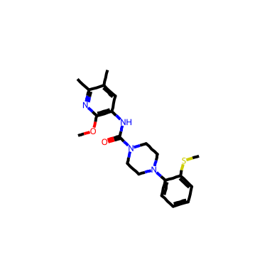 COc1nc(C)c(C)cc1NC(=O)N1CCN(c2ccccc2SC)CC1